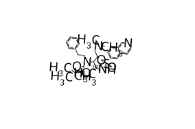 C[C@@H](NS(=O)(=O)c1ccc2cnccc2c1)C(CCN(C)C)N(CCc1ccccc1)C(=O)OC(C)(C)C